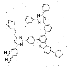 C=C/C=C\C(=C/C)c1nc(C/C=C\C=C/C)nc(-c2ccc(-c3cc(-c4cccc(-c5nc(C6=CCCC=C6)nc(-c6ccccc6)n5)c4)cc4c3sc3ccc(-c5ccccc5)cc34)cc2)n1